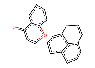 C1=Cc2cccc3cccc(c23)C1.O=c1ccoc2ccccc12